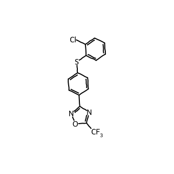 FC(F)(F)c1nc(-c2ccc(Sc3ccccc3Cl)cc2)no1